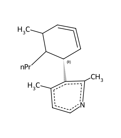 CCCC1C(C)C=C=C[C@@H]1c1c(C)ccnc1C